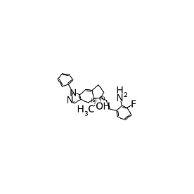 CC[C@]12Cc3cnn(-c4ccccc4)c3C=C1CC[C@@]2(O)CCc1cccc(F)c1N